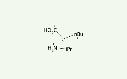 CC(C)N.CCCCCC(=O)O